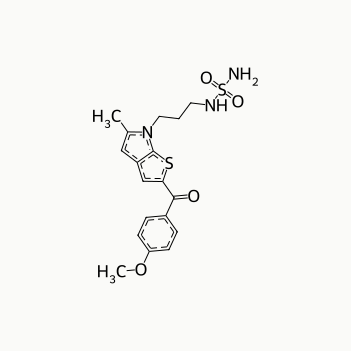 COc1ccc(C(=O)c2cc3cc(C)n(CCCNS(N)(=O)=O)c3s2)cc1